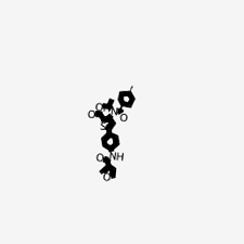 CC(C)N(c1cc(C2=CCC(NC(=O)c3ccoc3)C=C2)sc1C(=O)O)C(=O)[C@H]1CC[C@H](C)CC1